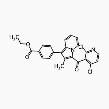 CCOC(=O)c1ccc(-c2c(C)c(C(=O)c3c(Cl)ccnc3Cl)n3ccccc23)cc1